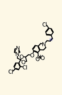 O=[N+]([O-])c1c(OCC2COC(Cn3ccnc3)(c3ccc(Cl)cc3Cl)O2)ccc2c1CCN(C/C=C\c1ccc(Cl)cc1)C2